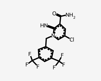 N=c1c(C(N)=O)cc(Cl)cn1Cc1cc(C(F)(F)F)cc(C(F)(F)F)c1